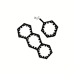 Cc1ccccc1.c1ccc2cc3ccccc3cc2c1